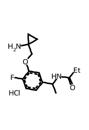 CCC(=O)NC(C)c1ccc(F)c(OCC2(N)CC2)c1.Cl